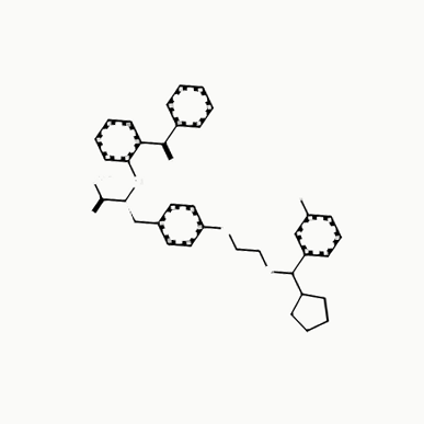 COC(=O)[C@H](Cc1ccc(OCCNC(c2cccc(Cl)c2)C2CCCC2)cc1)Nc1ccccc1C(=O)c1ccccc1